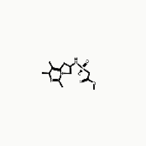 COC(=O)CS(=O)(=O)NC1CC2=C(C)C(C)N=C(C)N2C1